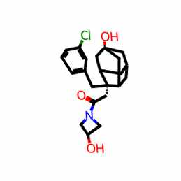 O=C(C[C@]1(Cc2cccc(Cl)c2)C2CC3CC1C[C@@](O)(C3)C2)N1CC(O)C1